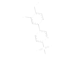 CCc1ccc(-c2ccc(S(C)(=O)=O)nc2)cc1Cl